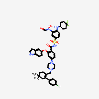 CC1(C)CCC(CN2CCN(c3ccc(C(=O)NS(=O)(=O)c4ccc(NC5CCC(F)(F)CC5)c(N(O)C=O)c4)c(Oc4ccc5[nH]ccc5c4)c3)CC2)=C(c2ccc(Cl)cc2)C1